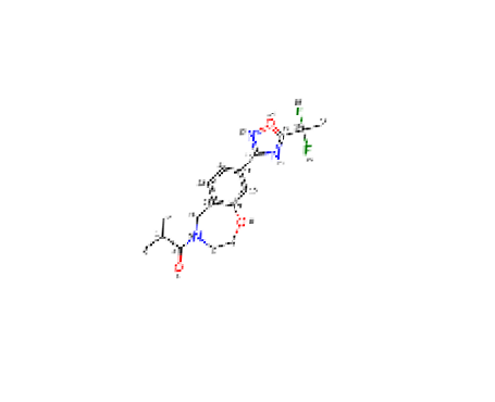 CC(C)C(=O)N1CCOc2cc(-c3noc(C(C)(F)F)n3)ccc2C1